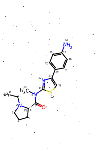 C[C](C)CN1CCC[C@H]1C(=O)N(C)c1nc(-c2ccc(N)cc2)cs1